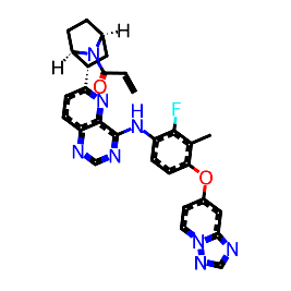 C=CC(=O)N1[C@H]2CC[C@@H]1[C@@H](c1ccc3ncnc(Nc4ccc(Oc5ccn6ncnc6c5)c(C)c4F)c3n1)C2